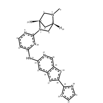 CN1C[C@@H]2C[C@H]1CN2c1nccc(Nc2cc3nc(-c4ncco4)sc3cn2)n1